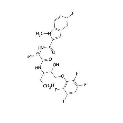 CC(C)[C@H](NC(=O)c1cc2cc(F)ccc2n1C)C(=O)NC(CC(=O)O)C(O)COc1c(F)c(F)cc(F)c1F